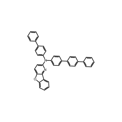 c1ccc(-c2ccc(-c3ccc(N(c4ccc(-c5ccccc5)cc4)c4ccc5oc6ccccc6c5n4)cc3)cc2)cc1